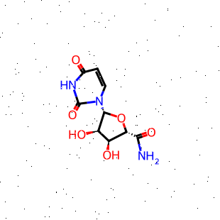 NC(=O)[C@H]1O[C@@H](n2ccc(=O)[nH]c2=O)[C@H](O)[C@@H]1O